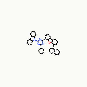 c1ccc(-c2nc(-c3cccc4c3oc3c(-c5cccc6ccccc56)cccc34)nc(-n3c4ccccc4c4ccccc43)n2)cc1